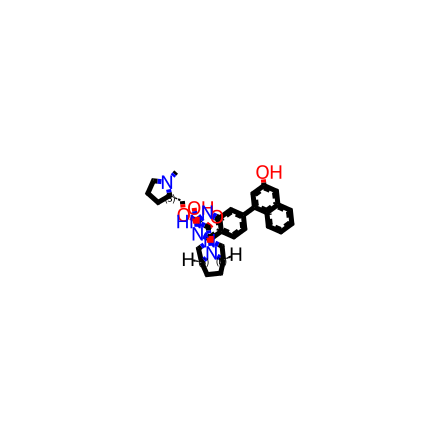 CN1CCC[C@H]1COc1nc(N2[C@@H]3CC[C@H]2CN(C(=O)NO)C3)c2ccc(-c3cc(O)cc4ccccc34)cc2n1